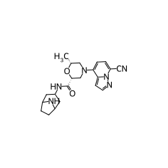 C[C@@H]1CN(c2ccc(C#N)n3nccc23)C[C@H](C(=O)NC2CC3CCC(C2)N3)O1